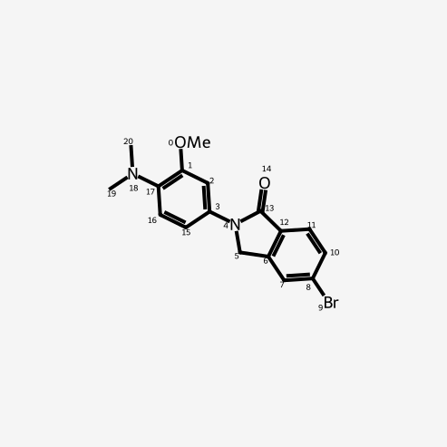 COc1cc(N2Cc3cc(Br)ccc3C2=O)ccc1N(C)C